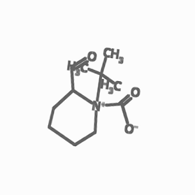 CC(C)(C)[N+]1(C(=O)[O-])CCCCC1C=O